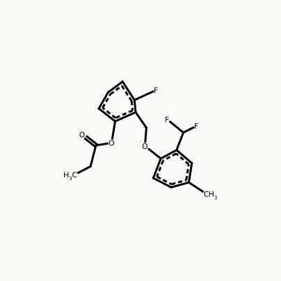 CCC(=O)Oc1cccc(F)c1COc1ccc(C)cc1C(F)F